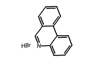 Br.c1ccc2c(c1)cnc1ccccc12